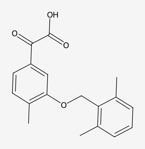 Cc1ccc(C(=O)C(=O)O)cc1OCc1c(C)cccc1C